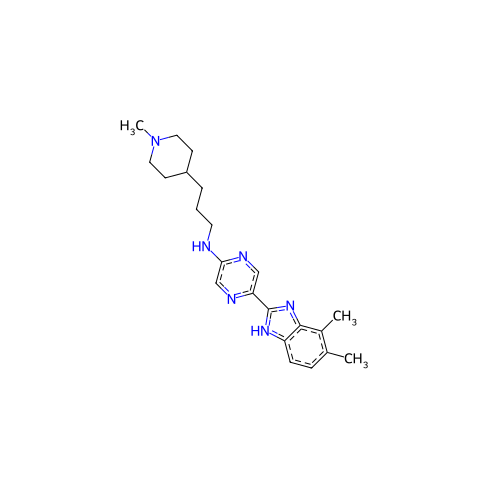 Cc1ccc2[nH]c(-c3cnc(NCCCC4CCN(C)CC4)cn3)nc2c1C